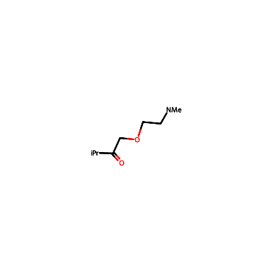 CNCCOCC(=O)C(C)C